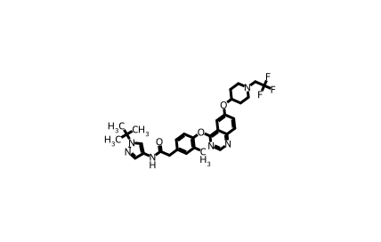 Cc1cc(CC(=O)Nc2cnn(C(C)(C)C)c2)ccc1Oc1ncnc2ccc(OC3CCN(CC(F)(F)F)CC3)cc12